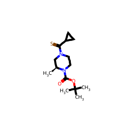 C[C@H]1CN(C(=S)C2CC2)CCN1C(=O)OC(C)(C)C